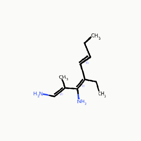 CC/C=C/C(CC)=C(N)\C(C)=C\N